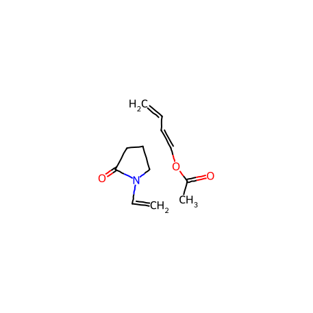 C=CC=COC(C)=O.C=CN1CCCC1=O